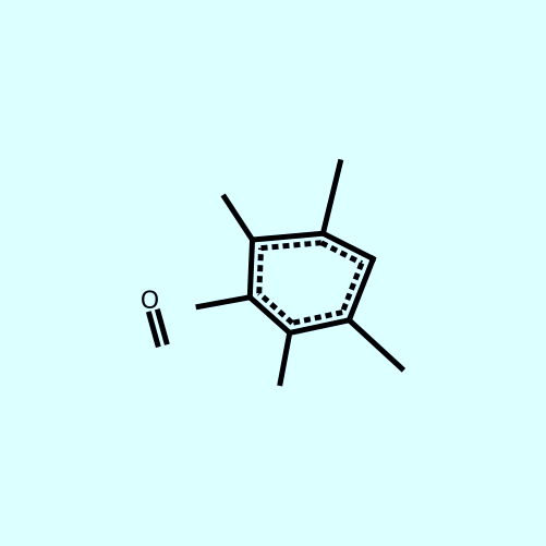 C=O.Cc1cc(C)c(C)c(C)c1C